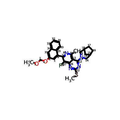 COCOc1cc(-c2nc(C)c3c(N4CC5CCC(C5)C4)nc(SC)nc3c2F)c2ccccc2c1